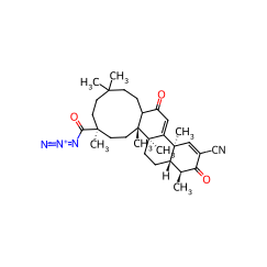 C[C@@H]1C(=O)C(C#N)=C[C@]2(C)C3=CC(=O)C4CCC(C)(C)CC[C@](C)(C(=O)N=[N+]=[N-])CC[C@@]4(C)[C@]3(C)CC[C@@H]12